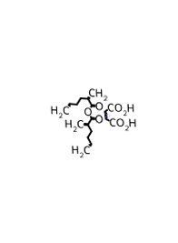 C=CCCC(=C)C(=O)OC(=O)C(=C)CCC=C.O=C(O)/C=C\C(=O)O